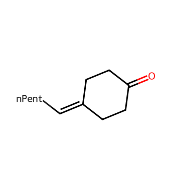 CCCCCC=C1CCC(=O)CC1